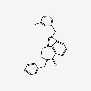 O=C1c2cccc3c2c(cn3Cc2cccc(F)c2)CCN1Cc1ccncc1